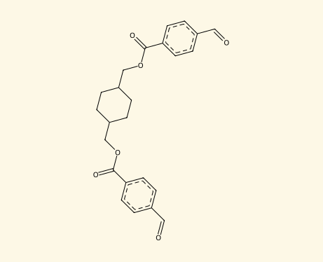 O=Cc1ccc(C(=O)OCC2CCC(COC(=O)c3ccc(C=O)cc3)CC2)cc1